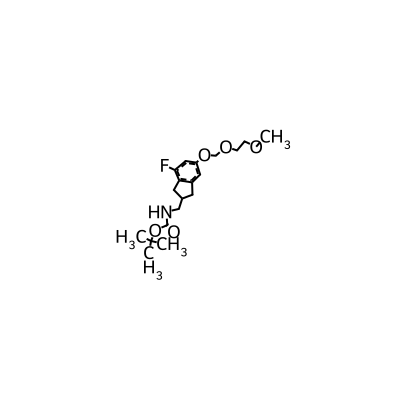 COCCOCOc1cc(F)c2c(c1)CC(CNC(=O)OC(C)(C)C)C2